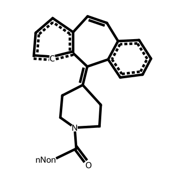 CCCCCCCCCC(=O)N1CCC(=C2c3ccccc3C=Cc3ccccc32)CC1